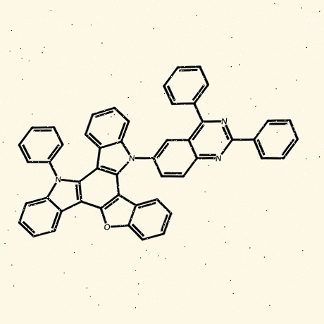 c1ccc(-c2nc(-c3ccccc3)c3cc(-n4c5ccccc5c5c6c(c7ccccc7n6-c6ccccc6)c6oc7ccccc7c6c54)ccc3n2)cc1